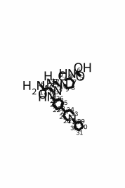 C[C@@H]1[C@H](NC(=O)O)CCCN1c1cnc(C(N)=O)c(Nc2ccc(C3CCN(C4CCCC4)CC3)cc2)n1